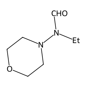 [CH2]CN(C=O)N1CCOCC1